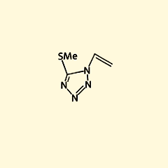 [CH2]Sc1nnnn1C=C